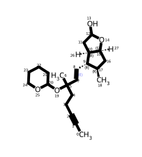 CC#CCCC(C)(/C=C/[C@@H]1[C@H]2CC(O)O[C@H]2C[C@H]1C)OC1CCCCO1